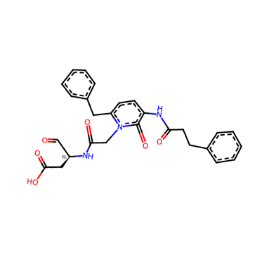 O=C[C@H](CC(=O)O)NC(=O)Cn1c(Cc2ccccc2)ccc(NC(=O)CCc2ccccc2)c1=O